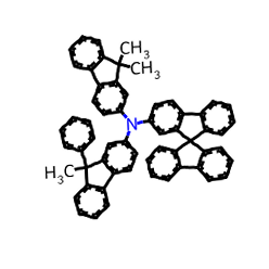 CC1(C)c2ccccc2-c2ccc(N(c3ccc4c(c3)C(C)(c3ccccc3)c3ccccc3-4)c3ccc4c(c3)C3(c5ccccc5-c5ccccc53)c3ccccc3-4)cc21